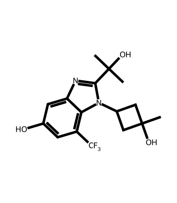 CC1(O)CC(n2c(C(C)(C)O)nc3cc(O)cc(C(F)(F)F)c32)C1